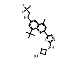 Cc1cc(-c2nnc(N[C@H]3C[C@@H](O)C3)o2)nc2c(C(C)(C)C)cc(NCC(F)(F)F)cc12